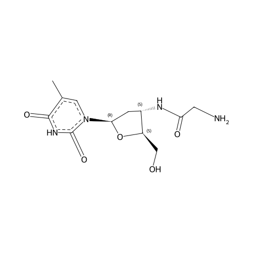 Cc1cn([C@H]2C[C@H](NC(=O)CN)[C@@H](CO)O2)c(=O)[nH]c1=O